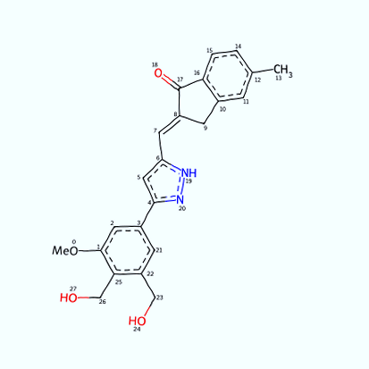 COc1cc(-c2cc(/C=C3\Cc4cc(C)ccc4C3=O)[nH]n2)cc(CO)c1CO